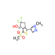 Cn1cc(-c2sc(S(C)(=O)=O)c3c2CC(F)(F)[C@H]3O)cn1